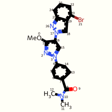 COc1nn(-c2ccc(C(=O)N(C)C)cc2)cc1-n1cc2c(Br)cccc2n1